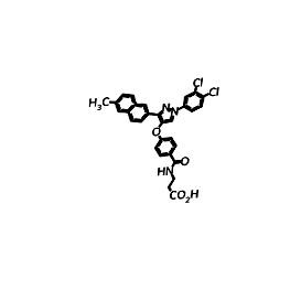 Cc1ccc2cc(-c3nn(-c4ccc(Cl)c(Cl)c4)cc3Oc3ccc(C(=O)NCCC(=O)O)cc3)ccc2c1